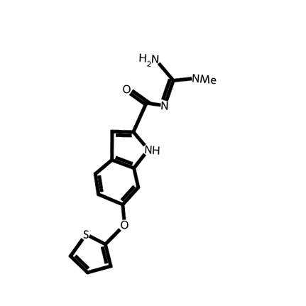 CNC(N)=NC(=O)c1cc2ccc(Oc3cccs3)cc2[nH]1